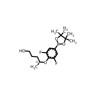 C[C@@H](CCCO)Oc1c(F)cc(B2OC(C)(C)C(C)(C)O2)cc1F